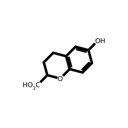 O=C(O)C1CCc2cc(O)ccc2O1